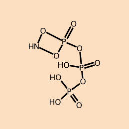 O=P(O)(O)OP(=O)(O)OP1(=O)ONO1